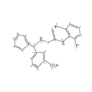 CC(C)c1cccc(C(C)C)c1NC(=O)CNC(c1ccccc1)c1cccc(C(=O)O)c1